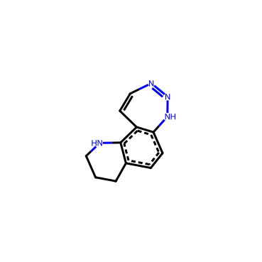 C1=Cc2c(ccc3c2NCCC3)NN=N1